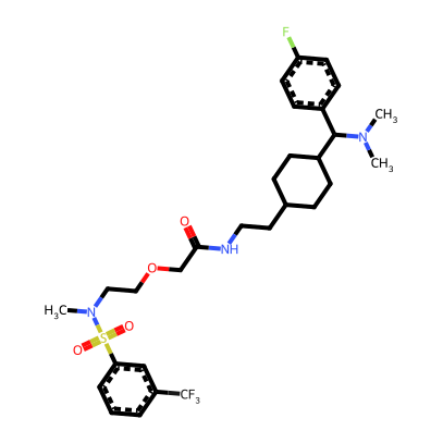 CN(C)C(c1ccc(F)cc1)C1CCC(CCNC(=O)COCCN(C)S(=O)(=O)c2cccc(C(F)(F)F)c2)CC1